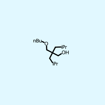 CCCCOCC(CO)(CC(C)C)CC(C)C